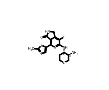 Cc1ncc(-c2nc(N[C@@H]3CCOC[C@@H]3N)c(F)c3c2C(=O)NC3)s1